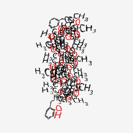 C[Si](C)(CCCc1ccccc1O)O[Si](C)(C)O[Si](C)(C)O[Si](C)(C)O[Si](C)(C)O[Si](C)(C)O[Si](C)(C)O[Si](C)(C)O[Si](C)(C)O[Si](C)(C)O[Si](C)(C)O[Si](C)(C)O[Si](C)(C)O[Si](C)(C)O[Si](C)(C)O[Si](C)(C)O[Si](C)(C)O[Si](C)(C)O[Si](C)(C)O[Si](C)(C)O[Si](C)(C)CCCc1ccccc1O